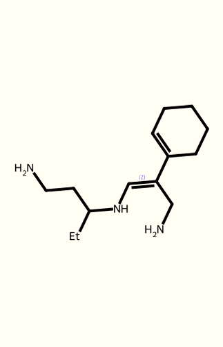 CCC(CCN)N/C=C(\CN)C1=CCCCC1